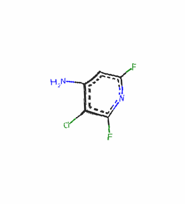 Nc1cc(F)nc(F)c1Cl